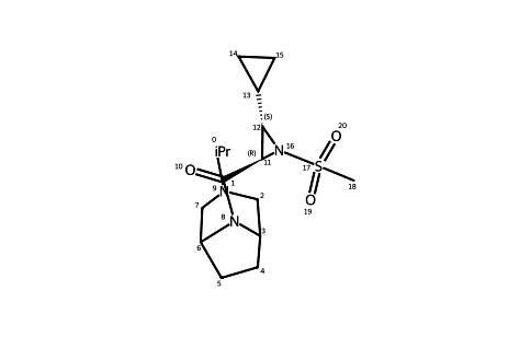 CC(C)N1CC2CCC(C1)N2C(=O)[C@H]1[C@H](C2CC2)N1S(C)(=O)=O